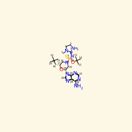 CN1CCN(C)C1=NP(=S)(OC(C)(C)C)N1C[C@@H](CC(C)(C)C)O[C@@H](n2cnc3c(N)ncnc32)C1